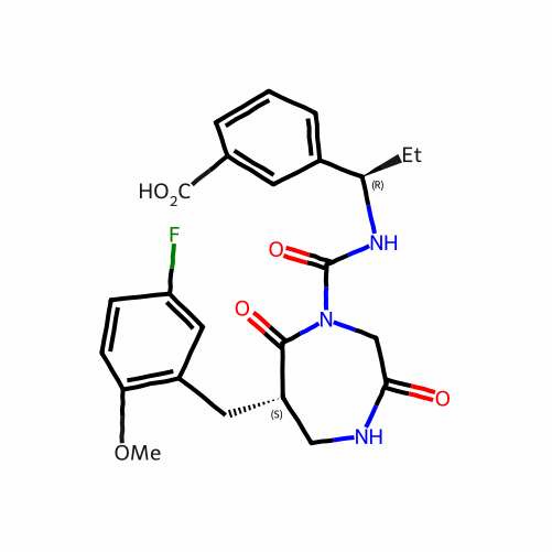 CC[C@@H](NC(=O)N1CC(=O)NC[C@H](Cc2cc(F)ccc2OC)C1=O)c1cccc(C(=O)O)c1